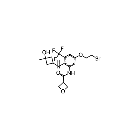 CC1(O)CC(Nc2c(NC(=O)C3COC3)cc(OCCBr)cc2C(F)(F)F)C1